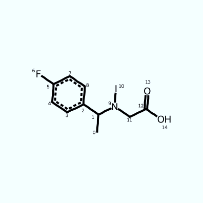 CC(c1ccc(F)cc1)N(I)CC(=O)O